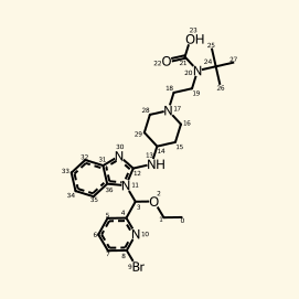 CCOC(c1cccc(Br)n1)n1c(NC2CCN(CCN(C(=O)O)C(C)(C)C)CC2)nc2ccccc21